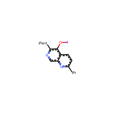 CCCC(C)c1ncc2nc(C(C)C)ccc2c1OI